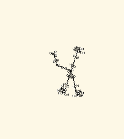 COC[C@H]1C[C@H](OC)CN1C(=O)CCCNC(=O)CCC(C)(C)SSCCOCCOCCC(=O)NC(CCCOC(=O)NCCCCCCNC(=O)CCCOC1OC(CO)C(O)C(O)C1NC(C)=O)(CCCOC(=O)NCCCCCCNC(=O)CCCOC1OC(CO)C(O)C(O)C1NC(C)=O)CCCOC(=O)NCCCCCCNC(=O)CCCOC1OC(CO)C(O)C(O)C1NC(C)=O